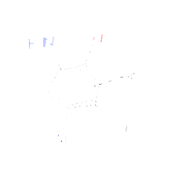 Cc1c(N)cc(N)c(O)c1C